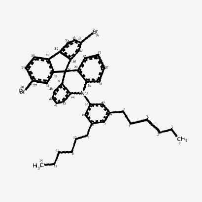 CCCCCCc1cc(CCCCCC)cc(N2c3ccccc3C3(c4cc(Br)ccc4-c4ccc(Br)cc43)c3ccccc32)c1